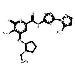 COC[C@@H]1CCC[C@@H]1Nc1cc(C(=O)Nc2nnc(-n3nccc3C)s2)oc(=O)c1OC